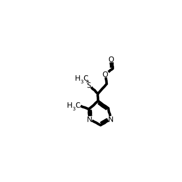 CSC(COC=O)c1cncnc1C